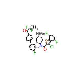 CN[C@H]1CC[C@H](N(Cc2cc(-c3ccc(C(=O)C(C)(F)F)cc3)ccc2F)C(=O)c2sc3c(F)ccc(F)c3c2Cl)CC1